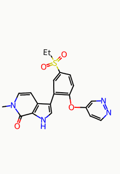 CCS(=O)(=O)c1ccc(Oc2ccnnc2)c(-c2c[nH]c3c(=O)n(C)ccc23)c1